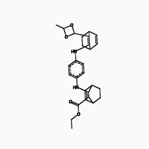 CCOC(=O)C1=C(Nc2ccc(NC3=C(C4OC(C)O4)C4C=CC3CC4)cc2)C2C=CC1CC2